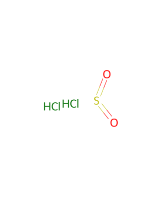 Cl.Cl.O=S=O